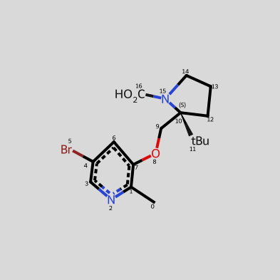 Cc1ncc(Br)cc1OC[C@@]1(C(C)(C)C)CCCN1C(=O)O